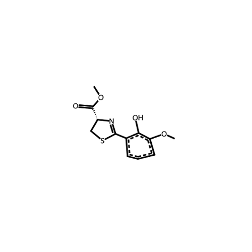 COC(=O)[C@H]1CSC(c2cccc(OC)c2O)=N1